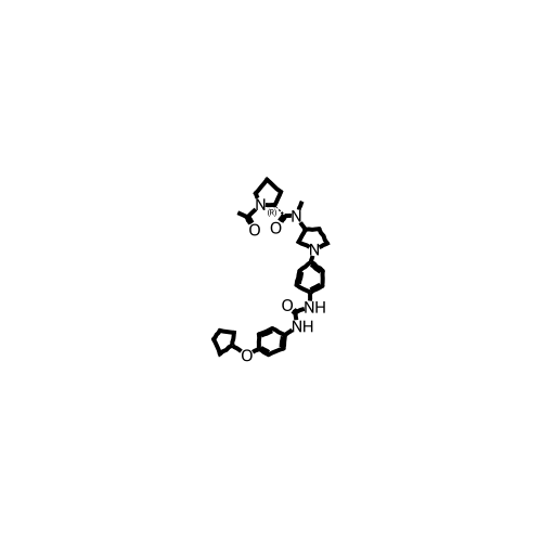 CC(=O)N1CCC[C@@H]1C(=O)N(C)C1CCN(c2ccc(NC(=O)Nc3ccc(OC4CCCC4)cc3)cc2)C1